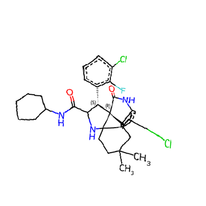 CC1(C)CCC2(CC1)NC(C(=O)NC1CCCCC1)[C@H](c1cccc(Cl)c1F)[C@]21C(=O)Nc2cc(Cl)ccc21